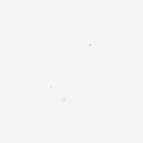 N[C@@H](CCNC(=O)c1cccnc1)C(=O)O